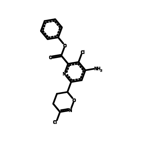 Nc1cc(C2CCC(Cl)=NO2)nc(C(=O)Oc2ccccc2)c1Cl